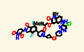 CNC(=O)COc1cc2cc(Nc3nc(N4CCC(O[C@H]5C[C@H](N6CCC(c7cc(F)c8c(c7F)CN(C7CCC(=O)NC7=O)C8=O)CC6)C5)CC4)ncc3Cl)ccc2n(C(C)C)c1=O